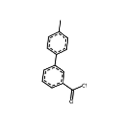 Cc1ccc(-c2cccc(C(=O)Cl)c2)cc1